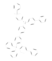 CC1(c2ccccc2)C=CC(N(c2ccc(-c3ccccc3)cc2)c2ccc(-c3ccc4c(c3)C3=C(CCC(c5ccccc5)=C3)C4(c3ccccc3)c3ccccc3)cc2)=CC1